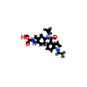 O=C(c1cccc2c1ccn2CCF)N(C1CC1)C1CCc2nn(C(=O)O)cc2C1